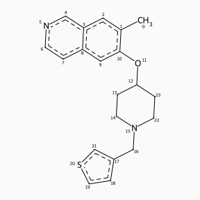 Cc1cc2cnccc2cc1OC1CCN(Cc2ccsc2)CC1